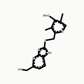 COc1c(C)cnc(CSc2nc3nc(CO)ccc3[nH]2)c1C